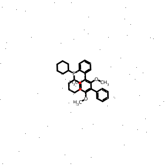 COc1cc(C)c(-c2ccccc2P(C2CCCCC2)C2CCCCC2)c(OC)c1-c1ccccc1